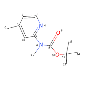 Cc1ccnc(N(C)C(=O)OC(C)(C)C)c1